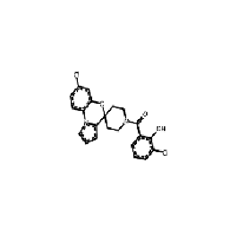 O=C(c1cccc(Cl)c1O)N1CCC2(CC1)Oc1cc(Cl)ccc1-n1cccc12